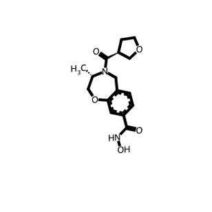 C[C@H]1COc2cc(C(=O)NO)ccc2CN1C(=O)[C@H]1CCOC1